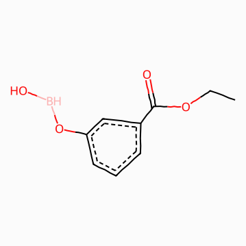 CCOC(=O)c1cccc(OBO)c1